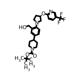 CC(C)(C)OC(=O)N1CCC(c2ccc(N3CC[C@@H](Oc4ccc(C(F)(F)F)cn4)C3)c(CO)c2)CC1